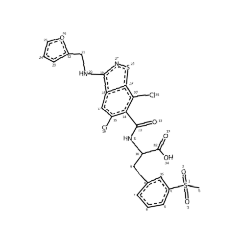 CS(=O)(=O)c1cccc(CC(NC(=O)c2c(Cl)cc3c(NCc4ccco4)nsc3c2Cl)C(=O)O)c1